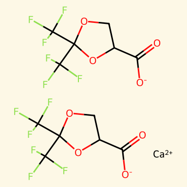 O=C([O-])C1COC(C(F)(F)F)(C(F)(F)F)O1.O=C([O-])C1COC(C(F)(F)F)(C(F)(F)F)O1.[Ca+2]